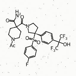 CC(=O)N1CCC(C(N)=O)(C(=O)N2CC[C@](c3ccc(C(O)(C(F)(F)F)C(F)(F)F)cc3)(S(=O)(=O)c3ccc(F)cc3)C2)CC1